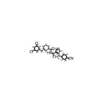 C[C@H](NC(=O)C1CCCN(Cc2cc(Cl)cc(Cl)c2)C1)c1cncn1Cc1ccc(C#N)cc1